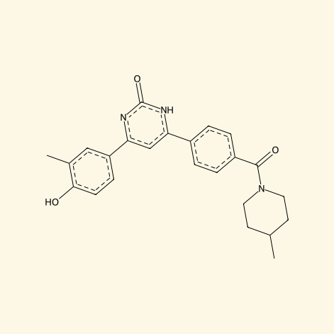 Cc1cc(-c2cc(-c3ccc(C(=O)N4CCC(C)CC4)cc3)[nH]c(=O)n2)ccc1O